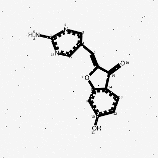 Nc1ncc(/C=C2\Oc3cc(O)ccc3C2=O)cn1